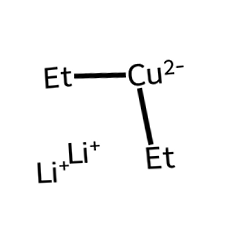 C[CH2][Cu-2][CH2]C.[Li+].[Li+]